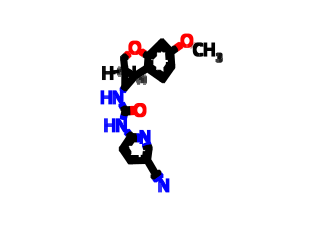 COc1ccc2c(c1)OC[C@@H]1C(NC(=O)Nc3ccc(C#N)cn3)[C@H]21